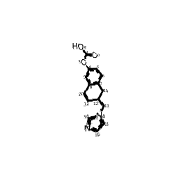 O=C(O)Oc1ccc2c(c1)CCC(Cn1ccnc1)C2